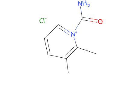 Cc1ccc[n+](C(N)=O)c1C.[Cl-]